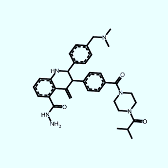 C=C1c2c(cccc2C(=O)NN)NC(c2ccc(CN(C)C)cc2)C1c1ccc(C(=O)N2CCN(C(=O)C(C)C)CC2)cc1